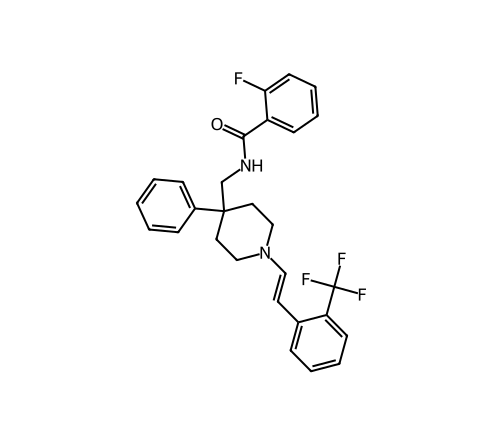 O=C(NCC1(c2ccccc2)CCN(C=Cc2ccccc2C(F)(F)F)CC1)c1ccccc1F